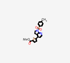 COC(=O)c1ccc(-c2ccnc3c2CCN3S(=O)(=O)c2ccc(C)cc2)s1